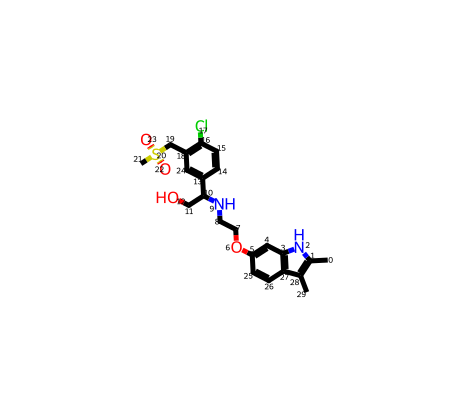 Cc1[nH]c2cc(OCCNC(CO)c3ccc(Cl)c(CS(C)(=O)=O)c3)ccc2c1C